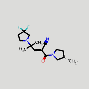 [CH2][C@H]1CCN(C(=O)/C(C#N)=C/C(C)(C)N2CCC(F)(F)C2)C1